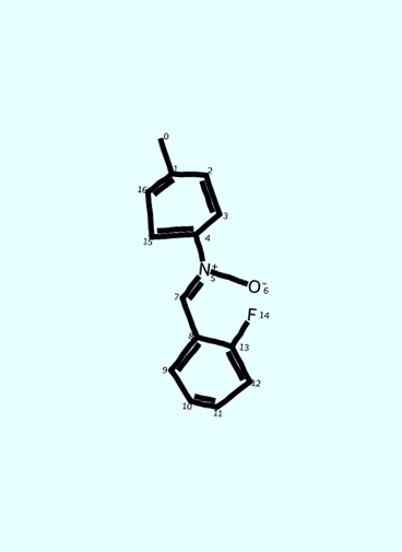 Cc1ccc([N+]([O-])=Cc2ccccc2F)cc1